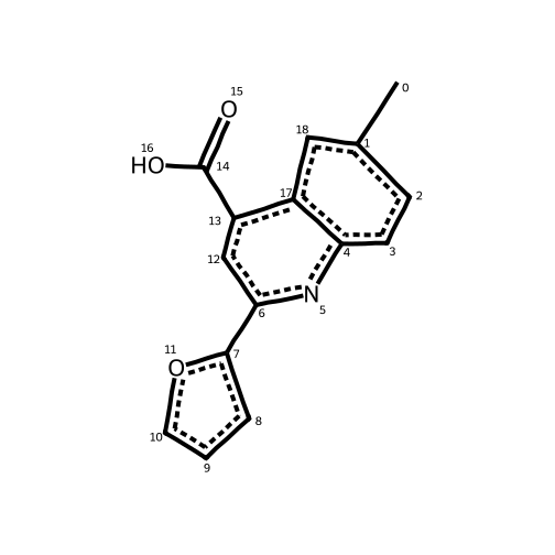 Cc1ccc2nc(-c3ccco3)cc(C(=O)O)c2c1